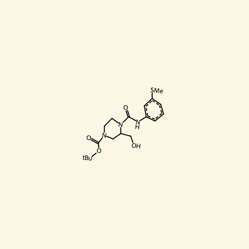 CSc1cccc(NC(=O)N2CCN(C(=O)OC(C)(C)C)CC2CO)c1